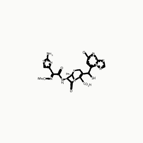 CON=C(C(=O)N[C@@H]1C(=O)N2C(C(=O)O)=C(C(S)c3cc(Cl)nc4ncnn34)CS[C@H]12)c1csc(N)n1